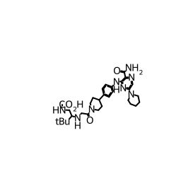 CC(C)(C)C(CNC(=O)O)NCC(=O)N1CCC(c2ccc(Nc3nc(N4CCCCC4)cnc3C(N)=O)cc2)CC1